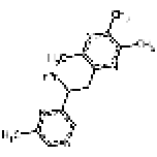 CCCC(Cc1nc(C)c(C)nc1C)c1cncc(C)n1